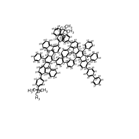 CC(C)(C)c1ccc(-c2ccc3c4c(-c5ccc(-c6cccc(-c7c8c9ccc(-c%10ccc(-c%11ccccc%11)cc%10)c%10c%11ccccc%11n(c8c(-c8ccccc8)c8c%11ccc(-c%12ccc(-c%13ccccc%13)cc%12)c%12c%13ccccc%13n(c78)c%11%12)c9%10)c6)cc5)c5c(c(-c6ccccc6)c4n4c6ccccc6c2c34)c2ccc(-c3ccc(C(C)(C)C)cc3)c3c4ccccc4n5c23)cc1